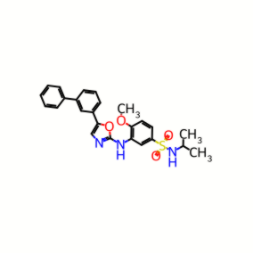 COc1ccc(S(=O)(=O)NC(C)C)cc1Nc1ncc(-c2cccc(-c3ccccc3)c2)o1